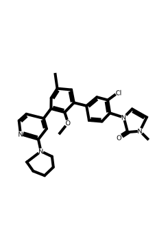 COc1c(-c2ccnc(N3CCCCC3)c2)cc(C)cc1-c1ccc(-n2ccn(C)c2=O)c(Cl)c1